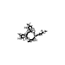 CCOC(=O)CCNCCN1C[C@H](C)C[C@@](C)(O)[C@H](O[C@@H]2O[C@H](C)C[C@H](N(C)C)[C@H]2O)[C@@H](C)[C@H](O[C@H]2C[C@@](C)(OC)[C@@H](O)[C@H](C)O2)[C@@H](C)C(=O)O[C@H](CC)[C@@](C)(O)[C@H](O)[C@H]1C